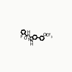 O=C(Nc1n[nH]c2cc(-c3cccc(OC(F)(F)F)c3)ccc12)c1ccccc1F